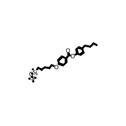 CCCCc1ccc(OC(=O)c2ccc(OCCCCC[Si](C)(C)O[Si](C)(C)C)cc2)cc1